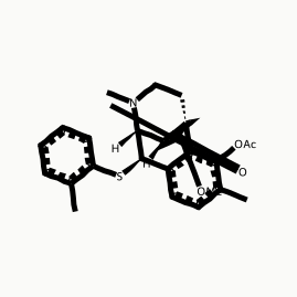 COC1=C[C@@H]2[C@@H]3[C@H](Sc4ccccc4C)c4ccc(C)c(OC(C)=O)c4[C@]2(CCN3C)CC1=O